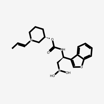 CC=CN1CCC[C@H](OC(=O)N[C@H](CB(O)O)c2coc3ccccc23)C1